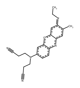 CC/N=c1\cc2oc3cc(N(CCC#N)CCC#N)ccc3nc-2cc1C